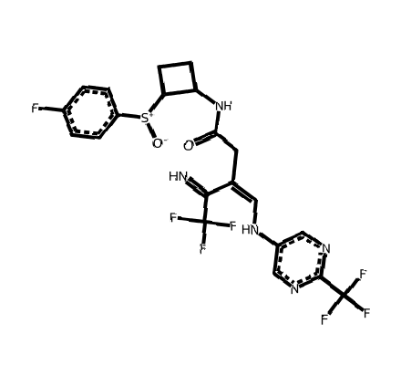 N=C(/C(=C\Nc1cnc(C(F)(F)F)nc1)CC(=O)NC1CCC1[S+]([O-])c1ccc(F)cc1)C(F)(F)F